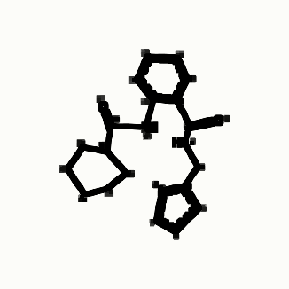 O=C(NCc1cccs1)c1ccccc1NC(=O)C1CCCCC1